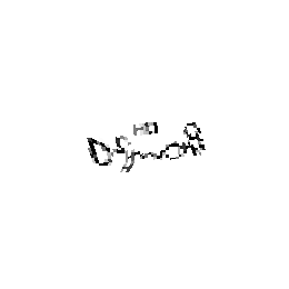 Cl.O=C(NCCCCN1CCN(c2nsc3ccccc23)CC1)c1ccccc1